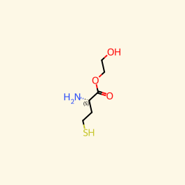 N[C@@H](CCS)C(=O)OCCO